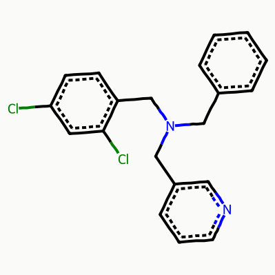 Clc1ccc(CN(Cc2ccccc2)Cc2cccnc2)c(Cl)c1